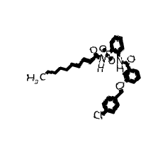 CCCCCCCCCC(=O)NS(=O)(=O)c1ccccc1NC(=O)c1cccc(OCc2ccc(Cl)cc2)c1